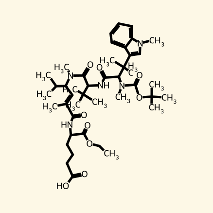 CCOC(=O)C(CCCC(=O)O)NC(=O)C(C)=CC(C(C)C)N(C)C(=O)C(NC(=O)C(N(C)C(=O)OC(C)(C)C)C(C)(C)c1cn(C)c2ccccc12)C(C)(C)C